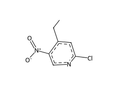 CCc1cc(Cl)ncc1[N+](=O)[O-]